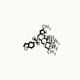 Cc1cc(CN([C@@H](CC(C)C)CN(CC(C)C)CC(C)C)S(=O)(=O)c2ccc3occc3c2)n(C)n1